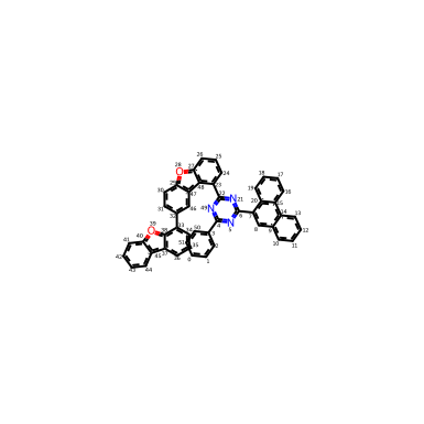 c1ccc(-c2nc(-c3cc4ccccc4c4ccccc34)nc(-c3cccc4oc5ccc(-c6cccc7c6oc6ccccc67)cc5c34)n2)cc1